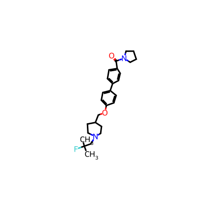 CC(C)(F)CN1CCC(COc2ccc(-c3ccc(C(=O)N4CCCC4)cc3)cc2)CC1